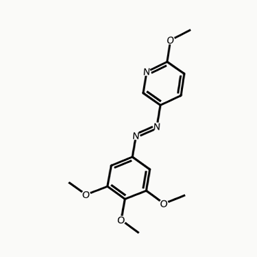 COc1ccc(/N=N/c2cc(OC)c(OC)c(OC)c2)cn1